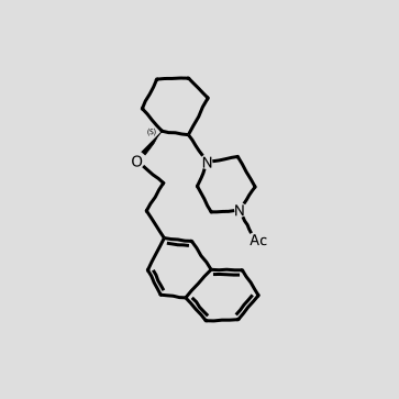 CC(=O)N1CCN(C2CCCC[C@@H]2OCCc2ccc3ccccc3c2)CC1